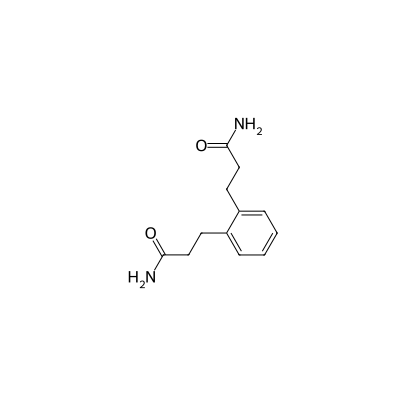 NC(=O)CCc1ccccc1CCC(N)=O